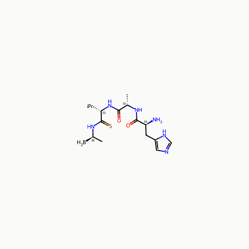 B[C@H](C)NC(=S)[C@@H](NC(=O)[C@H](C)NC(=O)[C@@H](N)Cc1cnc[nH]1)C(C)C